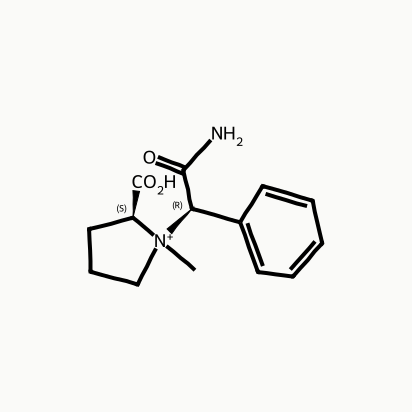 C[N+]1([C@@H](C(N)=O)c2ccccc2)CCC[C@H]1C(=O)O